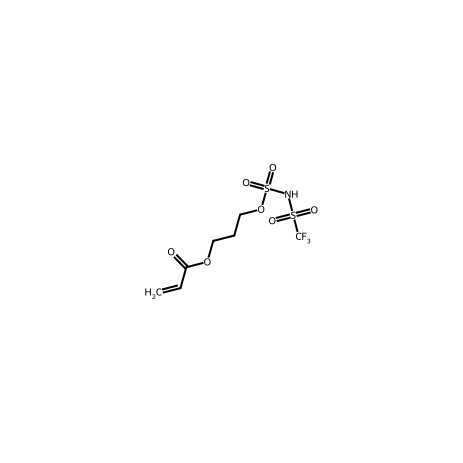 C=CC(=O)OCCCOS(=O)(=O)NS(=O)(=O)C(F)(F)F